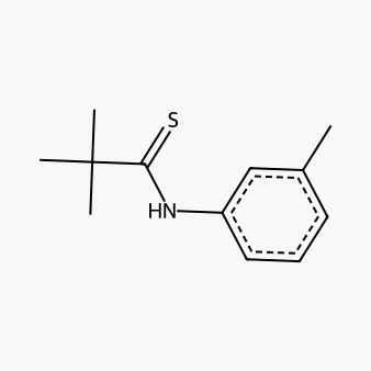 Cc1cccc(NC(=S)C(C)(C)C)c1